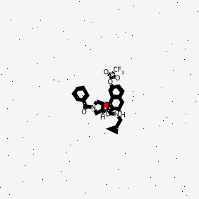 O=C(c1ccccc1)N1C[C@H]2O[C@@]34CCC1C2[C@@]31CCN(CC2CC2)[C@@H]4Cc2ccc(OS(=O)(=O)C(F)(F)F)cc21